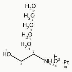 NCCO.O.O.O.O.O.O.[Pt]